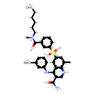 COc1cccc(Nc2c(C(N)=O)cnc3c(C)cc(S(=O)(=O)c4cccc(C(=O)N(C)CCCCCC=O)c4)cc23)c1